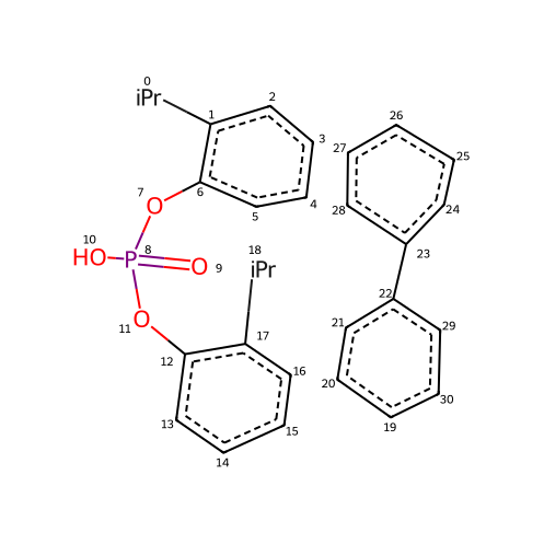 CC(C)c1ccccc1OP(=O)(O)Oc1ccccc1C(C)C.c1ccc(-c2ccccc2)cc1